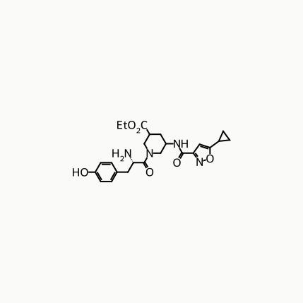 CCOC(=O)C1CC(NC(=O)c2cc(C3CC3)on2)CN(C(=O)[C@@H](N)Cc2ccc(O)cc2)C1